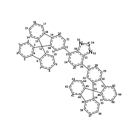 c1ccc2c(c1)-c1ccccc1C21c2ccccc2-c2ccc(-c3ccc(-c4ccc5c(c4)C4(c6ccccc6-c6ccccc64)c4ccccc4-5)c4nsnc34)cc21